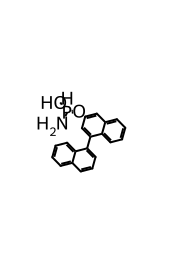 N[PH](=O)O.c1ccc2c(-c3cccc4ccccc34)cccc2c1